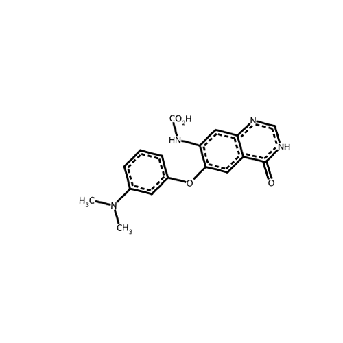 CN(C)c1cccc(Oc2cc3c(=O)[nH]cnc3cc2NC(=O)O)c1